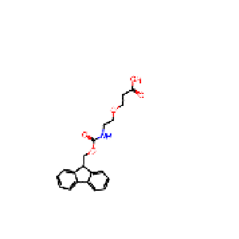 O=C(O)CCOCCNC(=O)OCC1c2ccccc2-c2ccccc21